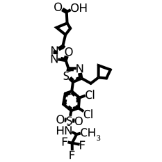 CC(NS(=O)(=O)c1ccc(-c2sc(-c3nnc(C4CC(C(=O)O)C4)o3)nc2CC2CCC2)c(Cl)c1Cl)C(F)(F)F